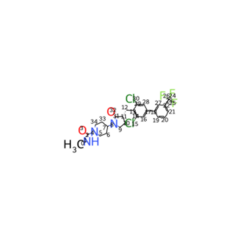 CNC(=O)N1CCC(N2CC[C@@H](Cc3c(Cl)cc(-c4cccc(C(F)(F)F)c4)cc3Cl)C2=O)CC1